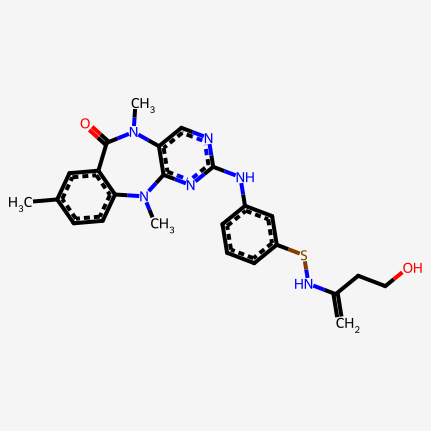 C=C(CCO)NSc1cccc(Nc2ncc3c(n2)N(C)c2ccc(C)cc2C(=O)N3C)c1